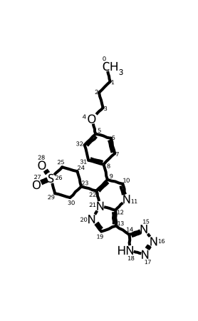 CCCCOc1ccc(-c2cnc3c(-c4nnn[nH]4)cnn3c2C2CCS(=O)(=O)CC2)cc1